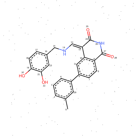 Cc1cccc(-c2ccc3c(c2)/C(=C\NCc2ccc(O)c(O)c2)C(=O)NC3=O)c1